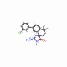 CN1C(=O)C2(CCC(C)(C)c3ccc(-c4cccc(Cl)c4)cc32)N=C1N